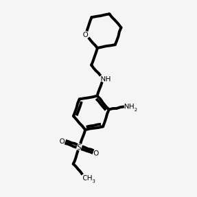 CCS(=O)(=O)c1ccc(NCC2CCCCO2)c(N)c1